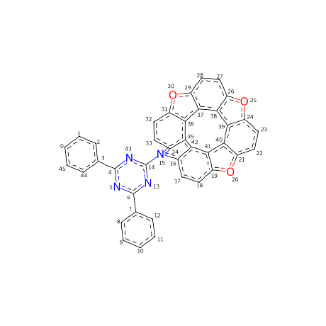 c1ccc(-c2nc(-c3ccccc3)nc(-n3c4ccc5oc6ccc7oc8ccc9oc%10ccc3c3c%10c9c8c7c6c5c34)n2)cc1